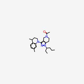 CCCC(CC)n1nc(N2CCC(C)c3ccc(C)cc32)c2c1CCN(C(C)=O)C2